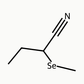 CCC(C#N)[Se]C